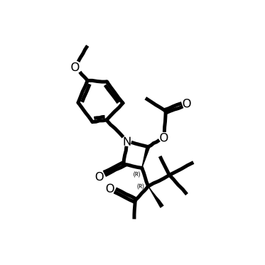 COc1ccc(N2C(=O)[C@H]([C@@](C)(C(C)=O)C(C)(C)C)C2OC(C)=O)cc1